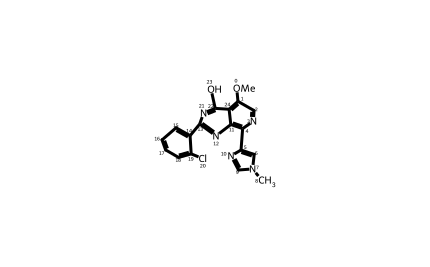 COc1cnc(-c2cn(C)cn2)c2nc(-c3ccccc3Cl)nc(O)c12